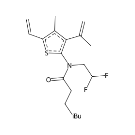 C=Cc1sc(N(CC(F)F)C(=O)CCC(C)CC)c(C(=C)C)c1C